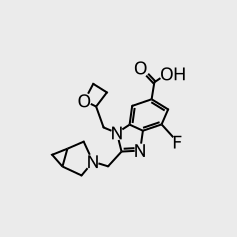 O=C(O)c1cc(F)c2nc(CN3CC4CC4C3)n(CC3CCO3)c2c1